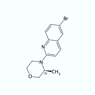 C[C@H]1COCCN1c1ccc2cc(Br)ccc2n1